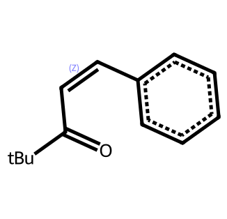 CC(C)(C)C(=O)/C=C\c1ccccc1